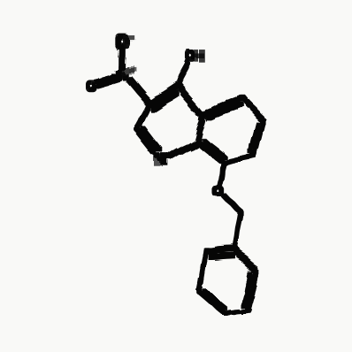 O=[N+]([O-])c1cnc2c(OCc3ccccc3)cccc2c1O